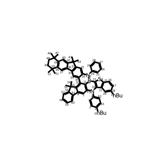 CCCCc1ccc(N2c3cc4c(c5c3B(c3sc6ccc(CCCC)cc6c32)N(c2ccccc2)c2cc3c(cc2-5)-c2cc5c(cc2C3(C)C)C(C)(C)CCC5(C)C)C(C)(C)c2ccccc2-4)cc1